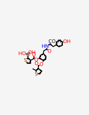 Cc1sccc1C(=O)Oc1ccc(CC(=O)N[C@@H](Cc2ccc(O)cc2)C(=O)O)cc1OC(=O)c1ccsc1B(O)O